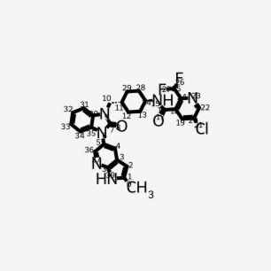 Cc1cc2cc(-n3c(=O)n(C[C@H]4CC[C@H](NC(=O)c5cc(Cl)cnc5C(F)F)CC4)c4ccccc43)cnc2[nH]1